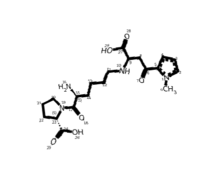 Cn1cccc1C(=O)CC(NCCCC[C@H](N)C(=O)N1CCC[C@H]1C(=O)O)C(=O)O